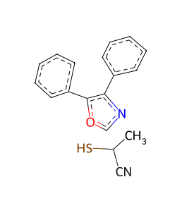 CC(S)C#N.c1ccc(-c2ncoc2-c2ccccc2)cc1